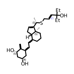 C=C1C(=CC=C2CCC[C@]3(C)C([C@H](C)SC/C=C/C(O)(CC)CC)=CC[C@@H]23)C[C@@H](O)C[C@@H]1O